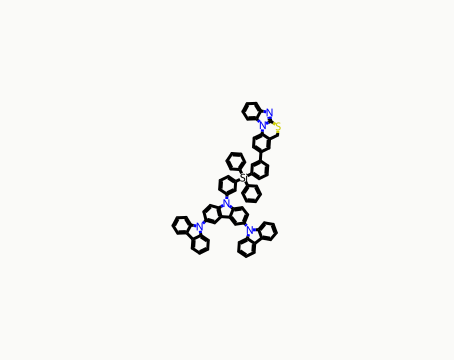 c1ccc([Si](c2ccccc2)(c2cccc(-c3ccc4c(c3)CSc3nc5ccccc5n3-4)c2)c2cccc(-n3c4ccc(-n5c6ccccc6c6ccccc65)cc4c4cc(-n5c6ccccc6c6ccccc65)ccc43)c2)cc1